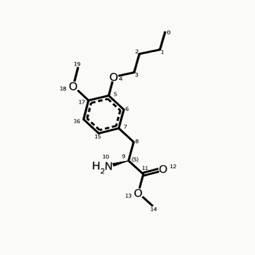 CCCCOc1cc(C[C@H](N)C(=O)OC)ccc1OC